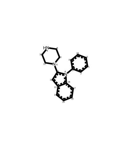 c1ccc(-n2c(N3CCNCC3)cc3ccccc32)cc1